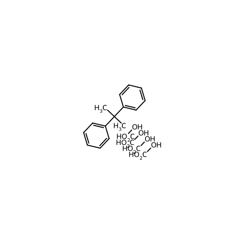 CC(C)(c1ccccc1)c1ccccc1.O=C(O)O.O=C(O)O.O=C(O)O.O=C(O)O